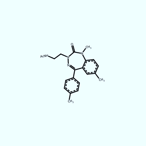 CC(=O)NCCN1N=C(c2ccc(C)cc2)c2cc(C)ccc2N(C)C1=O